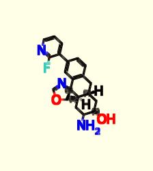 NC1C[C@@H]2[C@H](Cc3ccc(-c4cccnc4F)cc3[C@]23COC=N3)C[C@@H]1O